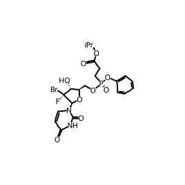 CC(C)OC(=O)CCP(=O)(OC[C@H]1O[C@@H](n2ccc(=O)[nH]c2=O)[C@@](F)(Br)[C@@H]1O)Oc1ccccc1